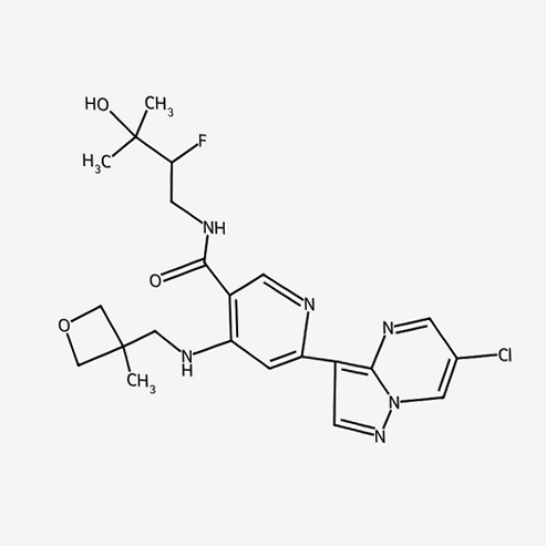 CC1(CNc2cc(-c3cnn4cc(Cl)cnc34)ncc2C(=O)NCC(F)C(C)(C)O)COC1